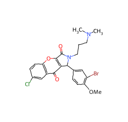 COc1ccc(C2c3c(oc4ccc(Cl)cc4c3=O)C(=O)N2CCCN(C)C)cc1Br